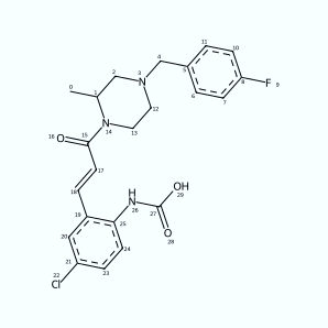 CC1CN(Cc2ccc(F)cc2)CCN1C(=O)C=Cc1cc(Cl)ccc1NC(=O)O